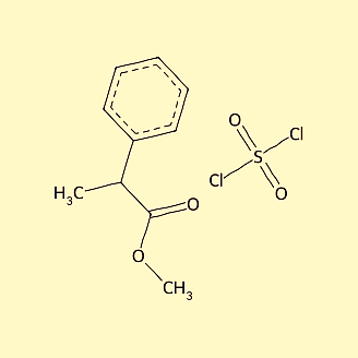 COC(=O)C(C)c1ccccc1.O=S(=O)(Cl)Cl